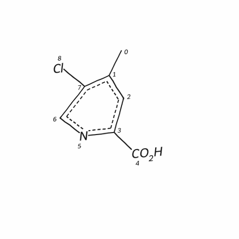 Cc1cc(C(=O)O)ncc1Cl